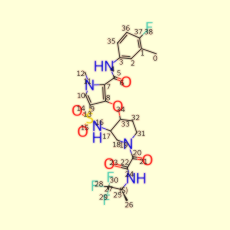 Cc1cc(NC(=O)c2c3c(cn2C)S(=O)(=O)NC2CN(C(=O)C(=O)N[C@@H](C)C(F)(F)F)CCC2O3)ccc1F